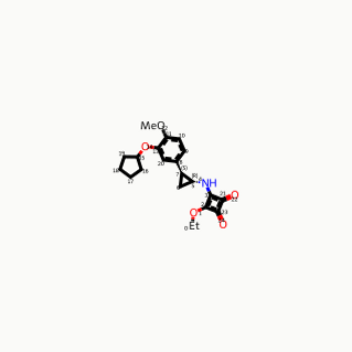 CCOc1c(N[C@@H]2C[C@H]2c2ccc(OC)c(OC3CCCC3)c2)c(=O)c1=O